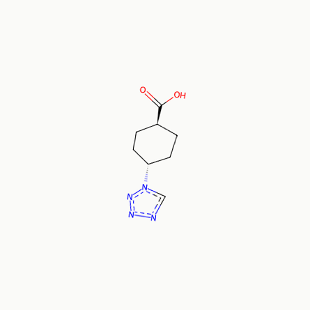 O=C(O)[C@H]1CC[C@H](n2cnnn2)CC1